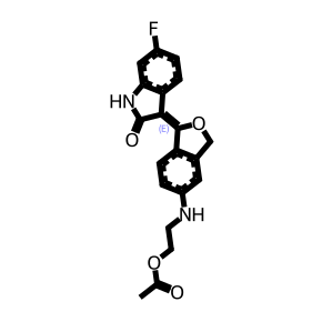 CC(=O)OCCNc1ccc2c(c1)CO/C2=C1/C(=O)Nc2cc(F)ccc21